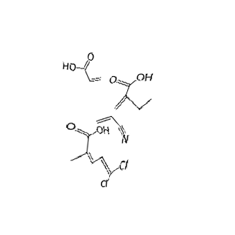 C=C(CC)C(=O)O.C=CC#N.C=CC(=O)O.CC(=CC=C(Cl)Cl)C(=O)O